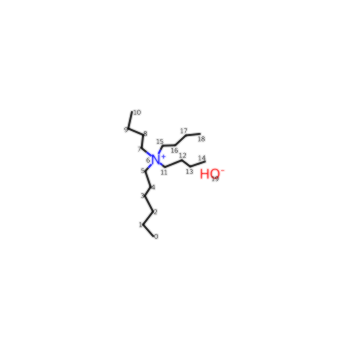 CCCCCC[N+](CCCC)(CCCC)CCCC.[OH-]